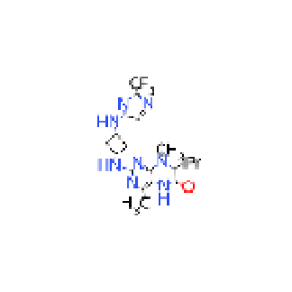 Cc1nc(N[C@H]2C[C@H](Nc3ccnc(C(F)(F)F)n3)C2)nc2c1NC(=O)[C@H](C(C)C)N2C